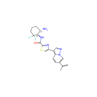 C=C(C)c1ccc2c(-c3csc(C(=O)N[C@@H]4[C@@H](N)CCCC4(F)F)n3)cnn2c1